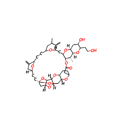 C=C1C[C@@H]2CC[C@@]34C[C@H]5O[C@H]6C(O3)[C@H]3OC(CCC3O[C@H]6C5O4)CC(=O)OC3C(C[C@H]4OC(CCC1O2)CC(C)C4=C)O[C@H]1CC(O)C(CCO)O[C@H]1[C@@H]3C